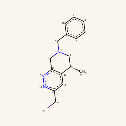 C[C@H]1CN(Cc2ccccc2)Cc2nnc(CI)cc21